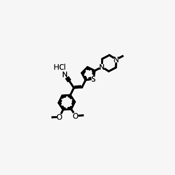 COc1ccc(C(C#N)=Cc2ccc(N3CCN(C)CC3)s2)cc1OC.Cl